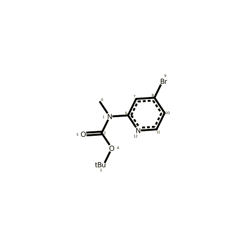 CN(C(=O)OC(C)(C)C)c1cc(Br)ccn1